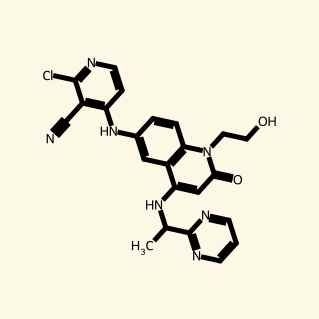 CC(Nc1cc(=O)n(CCO)c2ccc(Nc3ccnc(Cl)c3C#N)cc12)c1ncccn1